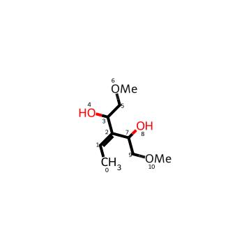 CC=C(C(O)COC)C(O)COC